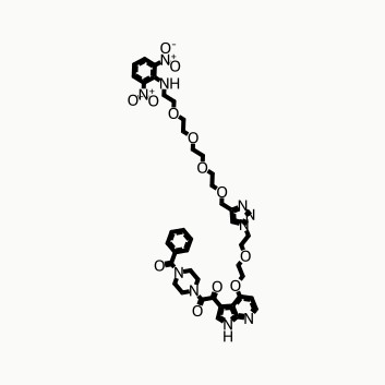 O=C(C(=O)N1CCN(C(=O)c2ccccc2)CC1)c1c[nH]c2nccc(OCCOCCn3cc(COCCOCCOCCOCCNc4c([N+](=O)[O-])cccc4[N+](=O)[O-])nn3)c12